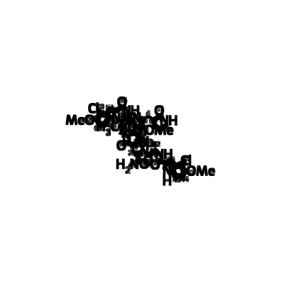 COC(=O)[C@H](C[C@@H]1CCCNC1=O)NC(=O)[C@H](CC(C)(C)CN1CCC[C@@H](C[C@H](NC(=O)[C@H](CC(C)(C)C)NC(=O)c2cc3c(Cl)c(OC)ccc3[nH]2)C(N)=O)C1=O)NC(=O)c1cc2c(Cl)c(OC)ccc2[nH]1